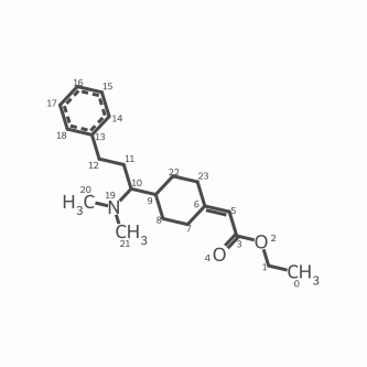 CCOC(=O)C=C1CCC(C(CCc2ccccc2)N(C)C)CC1